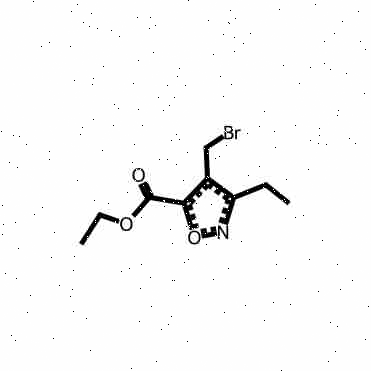 CCOC(=O)c1onc(CC)c1CBr